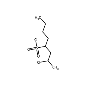 CCCCC(CC(C)Cl)S(=O)(=O)Cl